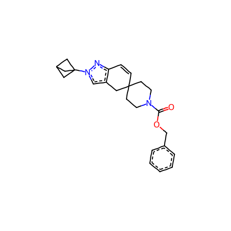 O=C(OCc1ccccc1)N1CCC2(C=Cc3nn(C45CC(C4)C5)cc3C2)CC1